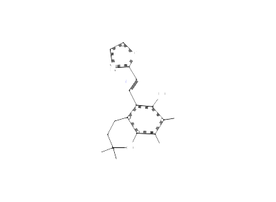 Cc1c(C)c2c(c(/C=C/c3nccs3)c1O)CCC(C)(C)O2